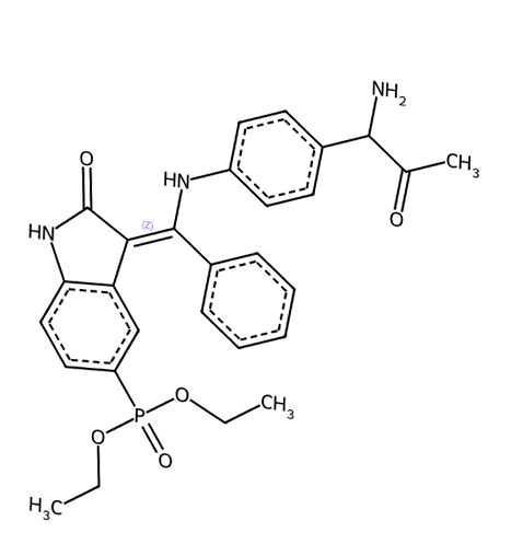 CCOP(=O)(OCC)c1ccc2c(c1)/C(=C(/Nc1ccc(C(N)C(C)=O)cc1)c1ccccc1)C(=O)N2